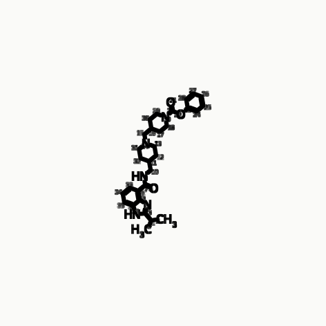 CC(C)c1nc2c(C(=O)NCC3CCN(CC4CCN(C(=O)Oc5ccccc5)CC4)CC3)cccc2[nH]1